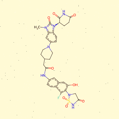 Cn1c(=O)n([C@@H]2CCC(=O)NC2=O)c2ccc(N3CCC(CC(=O)Nc4ccc5c(F)c(N6CC(=O)NS6(=O)=O)c(O)cc5c4)CC3)cc21